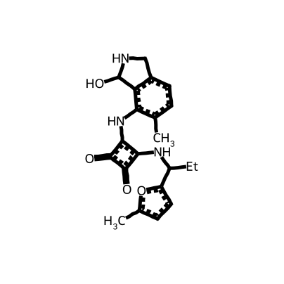 CCC(Nc1c(Nc2c(C)ccc3c2C(O)NC3)c(=O)c1=O)c1ccc(C)o1